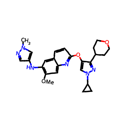 COc1cc2nc(Oc3cn(C4CC4)nc3C3CCOCC3)ccc2cc1Nc1cnn(C)c1